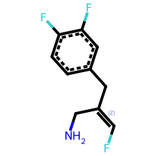 NC/C(=C\F)Cc1ccc(F)c(F)c1